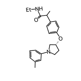 CCNC(=O)C(C)c1ccc(O[C@@H]2CCN(c3cccc(C)c3)C2)cc1